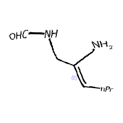 CCC/C=C(\N)CNC=O